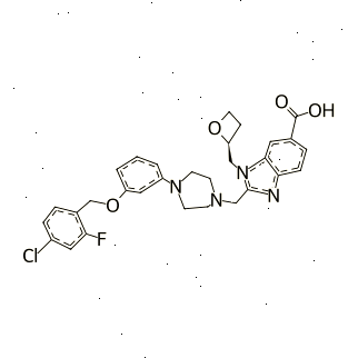 O=C(O)c1ccc2nc(CN3CCN(c4cccc(OCc5ccc(Cl)cc5F)c4)CC3)n(C[C@@H]3CCO3)c2c1